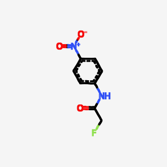 O=C(CF)Nc1ccc([N+](=O)[O-])cc1